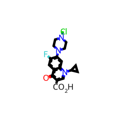 O=C(O)c1cn(C2CC2)c2cc(N3CCN(Cl)CC3)c(F)cc2c1=O